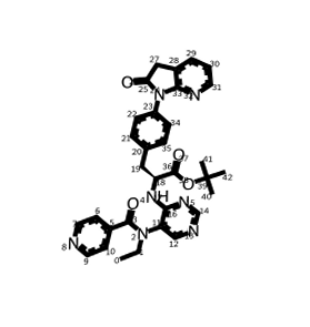 CCN(C(=O)c1ccncc1)c1cncnc1N[C@@H](Cc1ccc(N2C(=O)Cc3cccnc32)cc1)C(=O)OC(C)(C)C